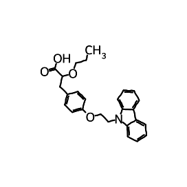 CCCOC(Cc1ccc(OCCn2c3ccccc3c3ccccc32)cc1)C(=O)O